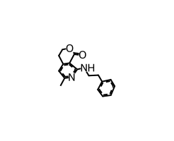 Cc1cc2c(c(NCCc3ccccc3)n1)C(=O)OCC2